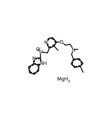 Cc1ccc(CN(C)CCOc2ccnc(C[S+]([O-])c3nc4ccccc4[nH]3)c2C)cc1.[MgH2]